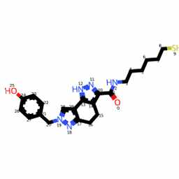 O=C(NCCCCCCS)c1n[nH]c2c1CCc1nn(Cc3ccc(O)cc3)cc1-2